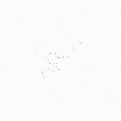 C=Cc1cnn2c(N[C@H]3CC[C@H](N)C3)cc(C(C)C3CC3)nc12